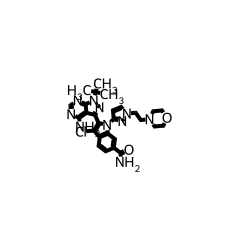 CC(C)(C)n1nc(-c2c(Cl)c3ccc(C(N)=O)cc3n2-c2ccn(CCN3CCOCC3)n2)c2c(N)ncnc21